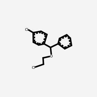 ClCCOC(c1ccccc1)c1ccc(Cl)cc1